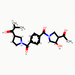 CC(=O)C1CN(C(=O)c2ccc(C(=O)N3CCC(C(=O)C(C)C)C3)cc2)CC1O